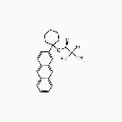 CCC(C)(C(=O)OC1(c2ccc3cc4ccccc4cc3c2)CCCCC1)C(F)(F)F